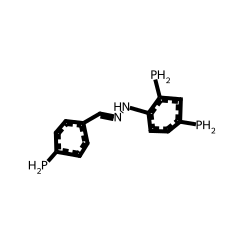 Pc1ccc(/C=N/Nc2ccc(P)cc2P)cc1